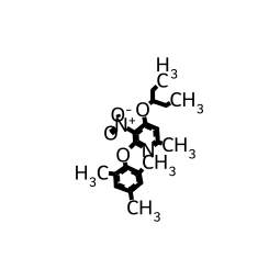 CCC(CC)Oc1cc(C)nc(Oc2c(C)cc(C)cc2C)c1[N+](=O)[O-]